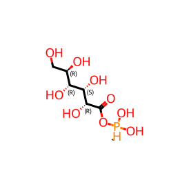 C[PH](O)(O)OC(=O)[C@H](O)[C@@H](O)[C@H](O)[C@H](O)CO